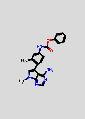 Cc1cc(NC(=O)Oc2ccccc2)ccc1-c1cn(C)c2ncnc(N)c12